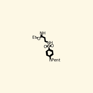 CCCCCc1ccc(S(=O)(=O)NCCC(=N)OCC)cc1